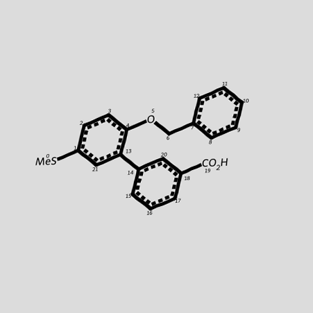 CSc1ccc(OCc2ccccc2)c(-c2cccc(C(=O)O)c2)c1